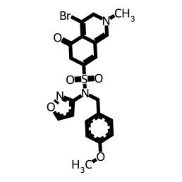 COc1ccc(CN(c2ccon2)S(=O)(=O)C2=CC3=CN(C)CC(Br)=C3C(=O)C2)cc1